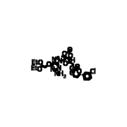 CCOC(COc1nc(N)nc2c1ncn2[C@@H]1O[C@H](CO[P@@]2(=O)OCC[C@@H](c3cccc(Cl)c3)O2)[C@H]2OC(=O)O[C@]21C)OCC